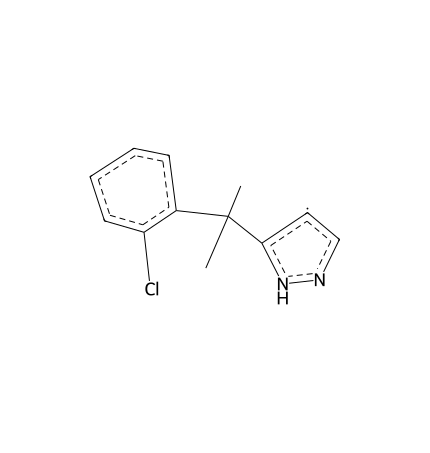 CC(C)(c1[c]cn[nH]1)c1ccccc1Cl